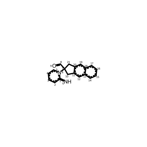 N=c1ccccn1C1(C=O)Cc2cc3ccccc3cc2C1